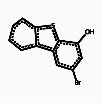 Oc1cc(Br)cc2c1sc1ccccc12